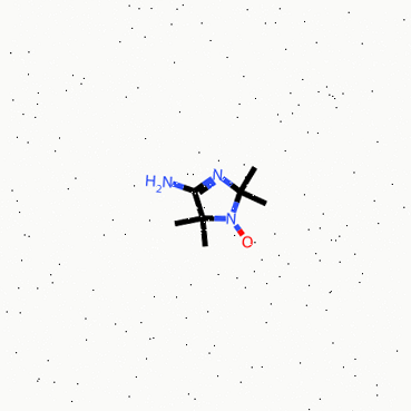 CC1(C)N=C(N)C(C)(C)N1[O]